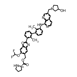 Cc1c(Nc2nccc3cc(CN4CCC(O)C4)cnc23)cccc1-c1cccc(-c2nc3cc(COC(=O)[C@H]4CCCN4)c(OC(F)F)cc3o2)c1C